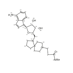 CNC(=O)CCN1CCC2(CCCN2C[C@H]2O[C@@H](n3ccc4c(N)ncnc43)[C@H](O)[C@@H]2O)CC1